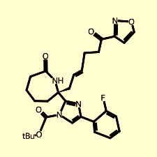 CC(C)(C)OC(=O)n1cc(-c2ccccc2F)nc1[C@]1(C/C=C/CCC(=O)c2ccon2)CCCCC(=O)N1